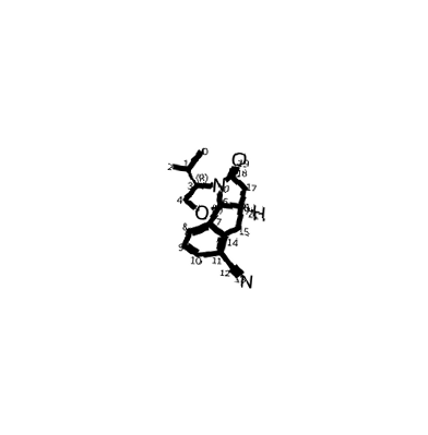 CC(C)[C@@H]1CO[C@@]23c4cccc(C#N)c4C[C@@H]2CC(=O)N13